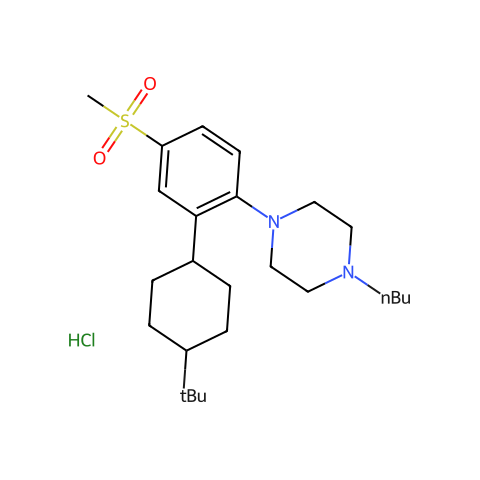 CCCCN1CCN(c2ccc(S(C)(=O)=O)cc2C2CCC(C(C)(C)C)CC2)CC1.Cl